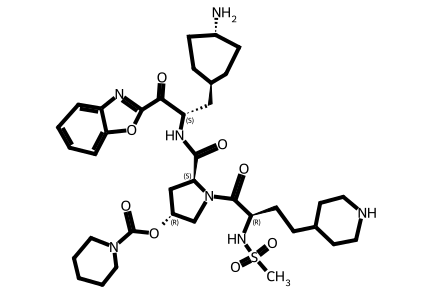 CS(=O)(=O)N[C@H](CCC1CCNCC1)C(=O)N1C[C@H](OC(=O)N2CCCCC2)C[C@H]1C(=O)N[C@@H](C[C@H]1CC[C@H](N)CC1)C(=O)c1nc2ccccc2o1